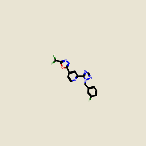 Fc1cccc(Cn2ncnc2-c2cc(-c3nnc(C(F)F)o3)ccn2)c1